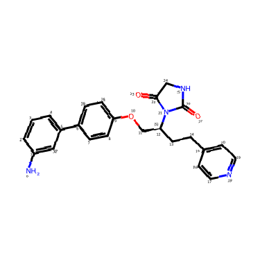 Nc1cccc(-c2ccc(OC[C@H](CCc3ccncc3)N3C(=O)CNC3=O)cc2)c1